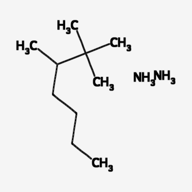 CCCCC(C)C(C)(C)C.N.N